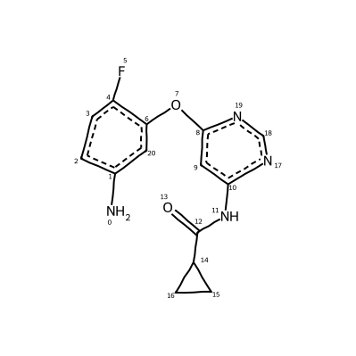 Nc1ccc(F)c(Oc2cc(NC(=O)C3CC3)ncn2)c1